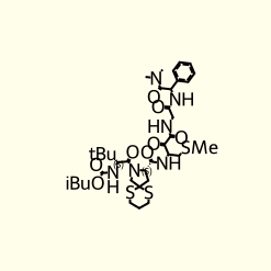 CSCC(NC(=O)[C@@H]1CC2(CN1C(=O)[C@@H](NC(=O)OCC(C)C)C(C)(C)C)SCCCS2)C(=O)C(=O)NCC(=O)NC(C(=O)N(C)C)c1ccccc1